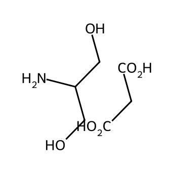 NC(CO)CO.O=C(O)CC(=O)O